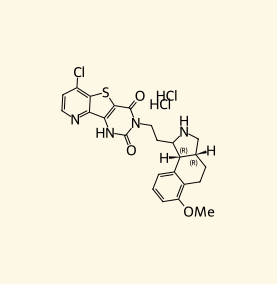 COc1cccc2c1CC[C@H]1CNC(CCn3c(=O)[nH]c4c(sc5c(Cl)ccnc54)c3=O)[C@@H]21.Cl.Cl